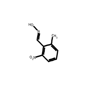 Cc1cccc([N+](=O)[O-])c1C=NO